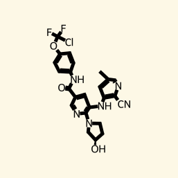 Cc1cnc(C#N)c(Nc2cc(C(=O)Nc3ccc(OC(F)(F)Cl)cc3)cnc2N2CC[C@@H](O)C2)c1